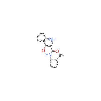 CC(C)c1ccccc1NC(=O)c1c[nH]c2ccccc2c1=O